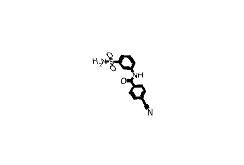 N#Cc1ccc(C(=O)Nc2cccc(S(N)(=O)=O)c2)cc1